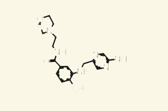 Cc1ccc(C(=O)NCCN2CCOCC2)cc1NCc1cnc(N)cn1